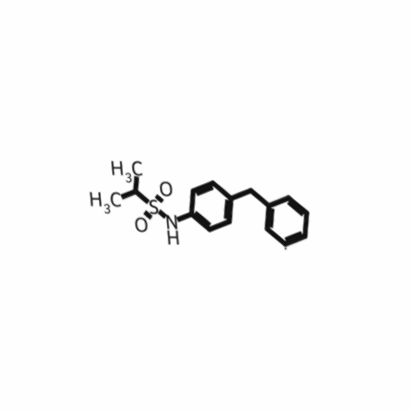 CC(C)S(=O)(=O)Nc1ccc(Cc2c[c]ccc2)cc1